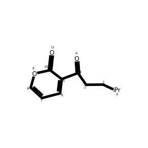 CC(C)CCC(=O)c1cccoc1=O